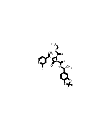 C=C(c1ccnc(Cl)c1)[C@H]1C(=O)N(C(=O)N[C@H](C)c2ccc3c(c2)OC(F)(F)O3)[C@@H]1C(=O)OCC